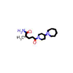 C[C@@H](C[CH]C(=O)N1CCC(N2CCCCCC2)CC1)C(N)=O